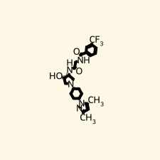 Cc1cc(C)n(C2CCC(N3C[C@@H](O)[C@@H](NC(=O)CNC(=O)c4cccc(C(F)(F)F)c4)C3)CC2)n1